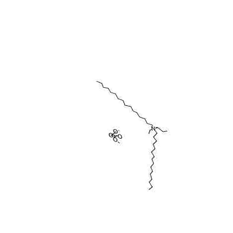 CCCCCCCCCCCCCCCC[N+](CC)(CCC)CCCCCCCCCCCCCCCC.COS(=O)(=O)[O-]